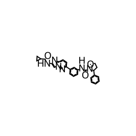 O=C(Nc1cn2nc(-c3cccc(NC(=O)N4OCCC4c4ccccc4)c3)ccc2n1)C1CC1